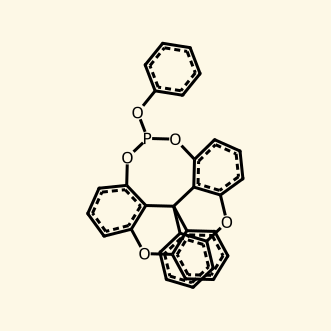 c1ccc(OP2Oc3cccc4c3C3(c5ccccc5O4)c4ccccc4Oc4cccc(c43)O2)cc1